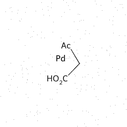 CC(=O)CC(=O)O.[Pd]